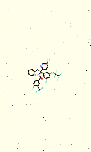 O=C(N[C@@](Cc1ccccc1)(c1cc(F)cc(OC(F)(F)C(F)F)c1)c1ccc(Cl)cn1)c1ccc(F)c(C(F)(F)F)c1